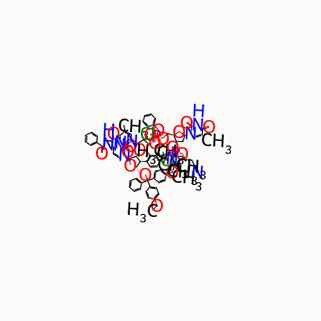 COc1ccc(C(OC[C@@H]2O[C@@H](n3ccc(NC(=O)c4ccccc4)nc3=O)C[C@H]2c2c[c]c(Cl)c(C)c2[C@H]2O[C@@H](n3cc(C)c(=O)[nH]c3=O)C[C@@H]2OP(=O)(OC[C@H]2O[C@@H](n3cc(C)c(=O)[nH]c3=O)C[C@@H]2OP(OCCC#N)N(C(C)C)C(C)C)Oc2ccccc2Cl)(c2ccccc2)c2ccc(OC)cc2)cc1